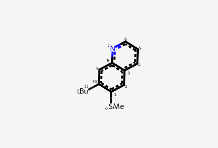 CSc1cc2cccnc2cc1C(C)(C)C